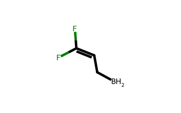 BCC=C(F)F